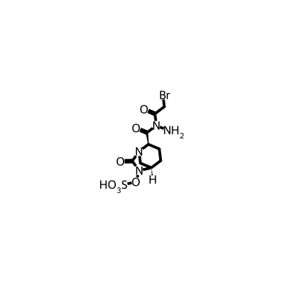 NN(C(=O)CBr)C(=O)[C@H]1CC[C@@H]2CN1C(=O)N2OS(=O)(=O)O